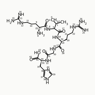 CC(C)C(NC(=O)[C@@H](N)CCCNC(=N)N)C(=O)N[C@@H](CCCNC(=N)N)C(=O)NCC(=O)N[C@@H](Cc1c[nH]cn1)C(=O)O